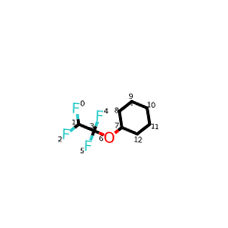 FC(F)C(F)(F)OC1C[CH]CCC1